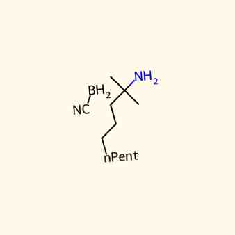 BC#N.CCCCCCCCC(C)(C)N